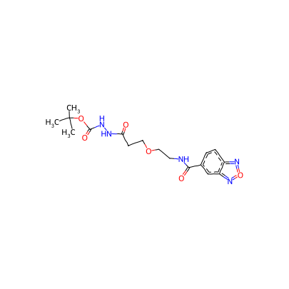 CC(C)(C)OC(=O)NNC(=O)CCOCCNC(=O)c1ccc2nonc2c1